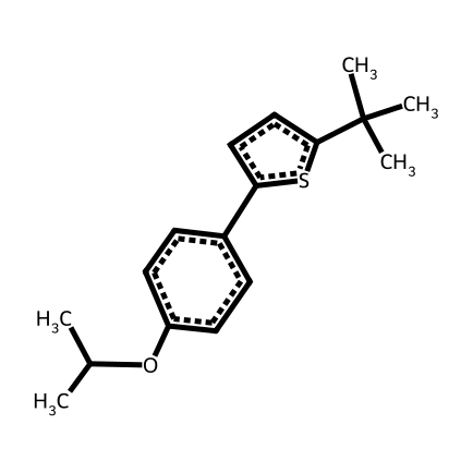 CC(C)Oc1ccc(-c2ccc(C(C)(C)C)s2)cc1